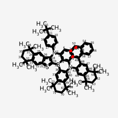 Cc1cc2c3c(c1)N(c1ccc(C(C)(C)C)cc1)c1c(sc4cc5c(cc14)C(C)(C)CCC5(C)C)B3c1cc3c(cc1N2c1cc2c(cc1-c1cccc4ccccc14)C(C)(C)CCC2(C)C)C(C)(C)CCC3(C)C